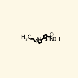 CC=CCn1ccc(-c2ccc(C(=O)NO)s2)n1